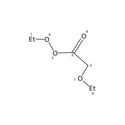 CCOCC(=O)OOCC